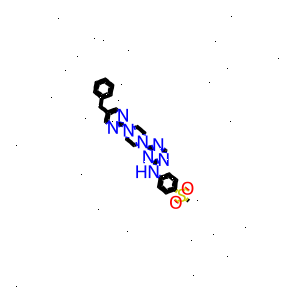 CS(=O)(=O)c1ccc(Nc2ncnc(N3CCN(c4ncc(Cc5ccccc5)cn4)CC3)n2)cc1